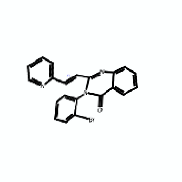 O=c1c2ccccc2nc(/C=C/c2ccccn2)n1-c1ccccc1Br